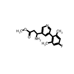 COC(=O)CC(N)c1cncc(-c2c(C)cc(F)cc2C)c1